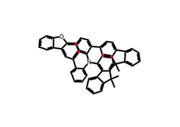 CC1(C)c2ccccc2-c2ccc(-c3ccccc3N(c3ccccc3-c3ccc4oc5ccccc5c4c3)c3cccc4c3-c3ccccc3C4(C)C)cc21